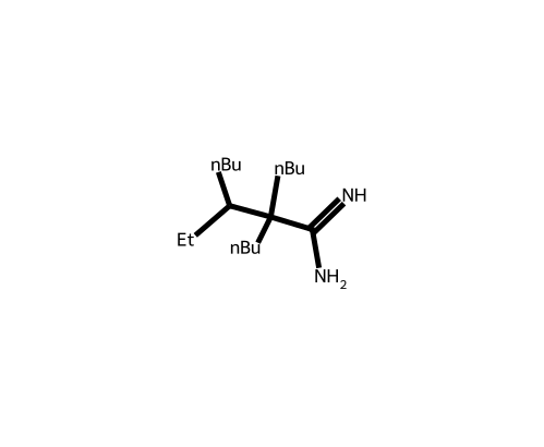 CCCCC(CC)C(CCCC)(CCCC)C(=N)N